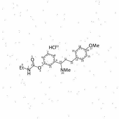 CCNC(=O)Oc1cccc(C(CCc2ccc(OC)cc2)NC)c1.Cl